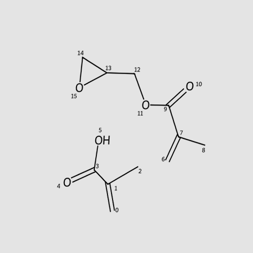 C=C(C)C(=O)O.C=C(C)C(=O)OCC1CO1